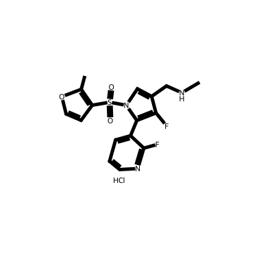 CNCc1cn(S(=O)(=O)c2ccoc2C)c(-c2cccnc2F)c1F.Cl